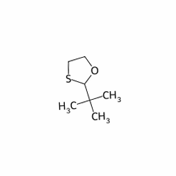 CC(C)(C)C1OCCS1